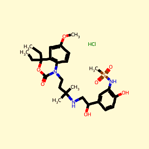 CCC1(CC)OC(=O)N(CCC(C)(C)NCC(O)c2ccc(O)c(NS(C)(=O)=O)c2)c2ccc(OC)cc21.Cl